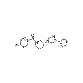 O=C(c1ccc(F)cc1)N1CCCC(n2cnc(-c3ccc[nH]3)c2)C1